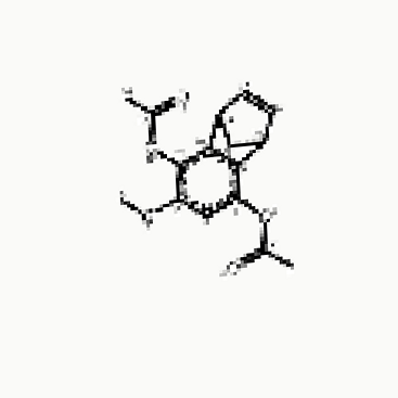 COc1cc(OC(C)=O)c2c(c1OC(C)=O)C1C=CC2C1